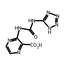 O=C(Nc1nnn[nH]1)Nc1nccnc1C(=O)O